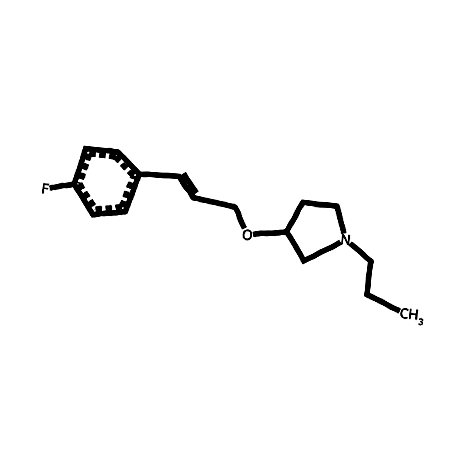 CCCN1CCC(OCC=Cc2ccc(F)cc2)C1